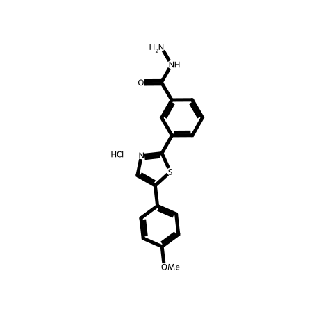 COc1ccc(-c2cnc(-c3cccc(C(=O)NN)c3)s2)cc1.Cl